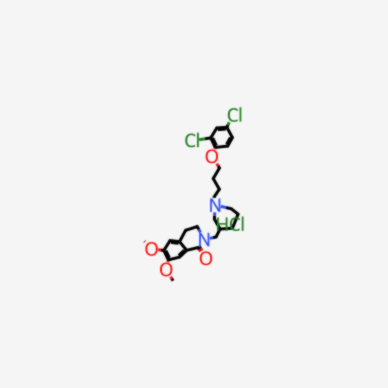 COc1cc2c(cc1OC)C(=O)N(CC1CCCN(CCCCOc3ccc(Cl)cc3Cl)C1)CC2.Cl